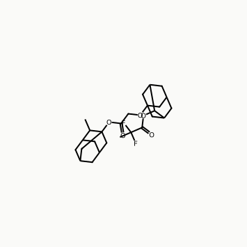 CC1C2CC3CC(C2)CC1(OC(=O)COC12CC4CC(C1)C(OC(=O)C(C)(F)F)C(C4)C2)C3